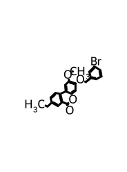 CCc1ccc2c(c1)c(=O)oc1cc(OCc3cccc(Br)c3)c(OC)cc12